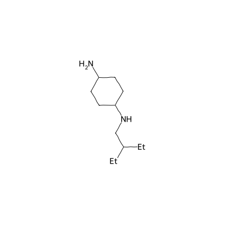 CCC(CC)CNC1CCC(N)CC1